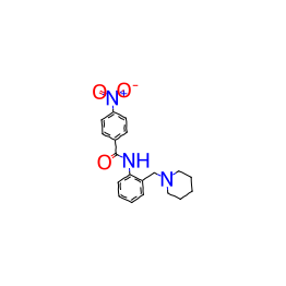 O=C(Nc1ccccc1CN1CCCCC1)c1ccc([N+](=O)[O-])cc1